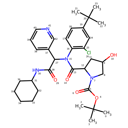 CC(C)(C)OC(=O)N1CC(O)CC1C(=O)N(c1ccc(C(C)(C)C)cc1Cl)C(C(=O)NC1CCCCC1)c1cccnc1